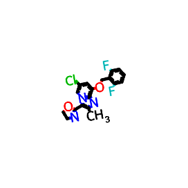 Cc1nc2c(OCc3c(F)cccc3F)cc(Cl)cn2c1C1=NCCO1